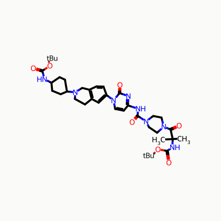 CC(C)(C)OC(=O)NC1CCC(N2CCc3cc(-n4ccc(NC(=O)N5CCN(C(=O)C(C)(C)NC(=O)OC(C)(C)C)CC5)nc4=O)ccc3C2)CC1